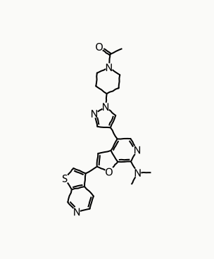 CC(=O)N1CCC(n2cc(-c3cnc(N(C)C)c4oc(-c5csc6cnccc56)cc34)cn2)CC1